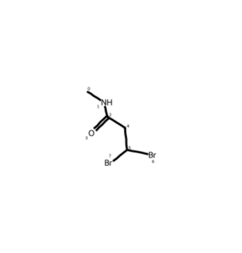 CNC(=O)CC(Br)Br